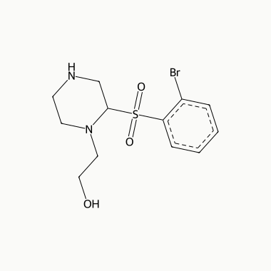 O=S(=O)(c1ccccc1Br)C1CNCCN1CCO